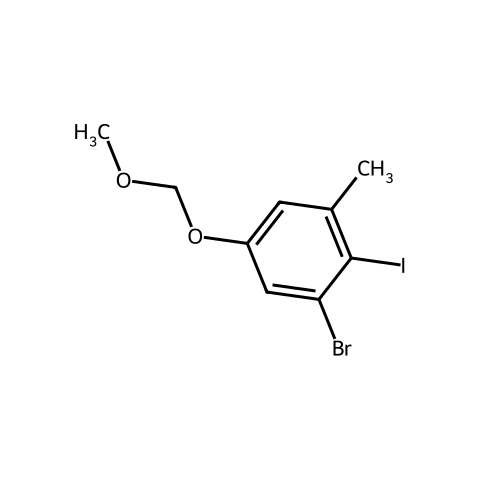 COCOc1cc(C)c(I)c(Br)c1